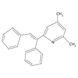 Cc1cc(C)nc(C(=Cc2ccccc2)c2ccccc2)c1